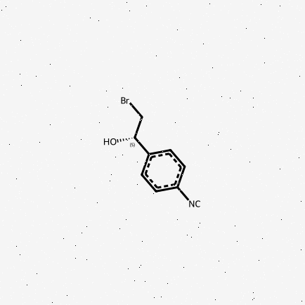 [C-]#[N+]c1ccc([C@H](O)CBr)cc1